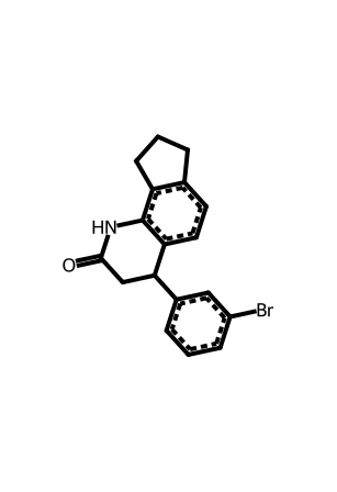 O=C1CC(c2cccc(Br)c2)c2ccc3c(c2N1)CCC3